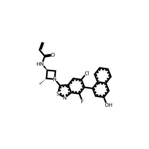 C=CC(=O)N[C@H]1CN(c2snc3c(F)c(-c4cc(O)cc5ccccc45)c(Cl)cc23)[C@@H]1C